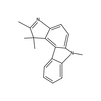 CC1=Nc2ccc3c(c2C1(C)C)c1ccccc1n3C